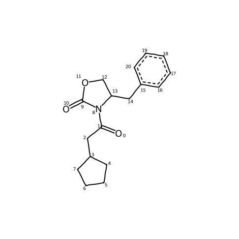 O=C(CC1CCCC1)N1C(=O)OCC1Cc1ccccc1